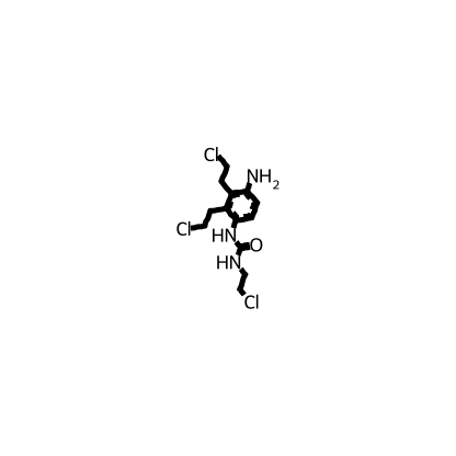 Nc1ccc(NC(=O)NCCCl)c(CCCl)c1CCCl